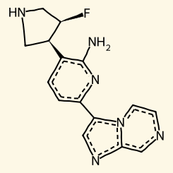 Nc1nc(-c2cnc3cnccn23)ccc1[C@H]1CNC[C@H]1F